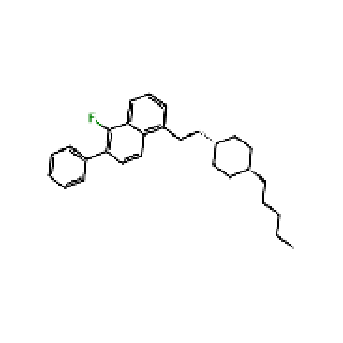 CCCCC[C@H]1CC[C@H](CCc2cccc3c(F)c(-c4ccccc4)ccc23)CC1